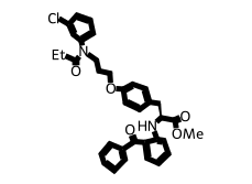 CCC(=O)N(CCCOc1ccc(C[C@H](Nc2ccccc2C(=O)c2ccccc2)C(=O)OC)cc1)c1cccc(Cl)c1